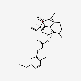 C=C[C@]1(C)C[C@@H](OC(=O)CSc2cc(CO)ccc2F)[C@]2(C)C(C)CCC(CC)(C2C(=O)CC)[C@@H](C)[C@@H]1O